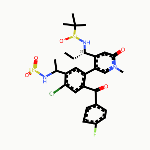 CC[C@H](N[S+]([O-])C(C)(C)C)c1cc(=O)n(C)cc1-c1cc(C(C)N[SH](=O)=O)c(Cl)cc1C(=O)c1ccc(F)cc1